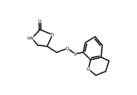 O=C1NCC(COSc2cccc3c2OCCC3)O1